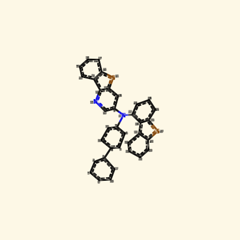 c1ccc(-c2ccc(N(c3cnc4c(c3)sc3ccccc34)c3cccc4sc5ccccc5c34)cc2)cc1